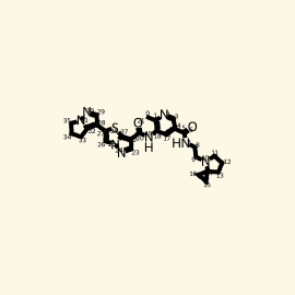 Cc1ncc(C(=O)NCCN2CCCC23CC3)cc1NC(=O)c1cnn2cc(-c3cnn4c3CCC4)sc12